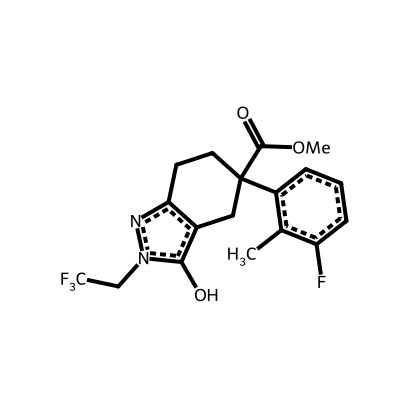 COC(=O)C1(c2cccc(F)c2C)CCc2nn(CC(F)(F)F)c(O)c2C1